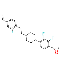 C=Cc1ccc(CCC2CCC(c3ccc(C4CO4)c(F)c3F)CC2)c(F)c1